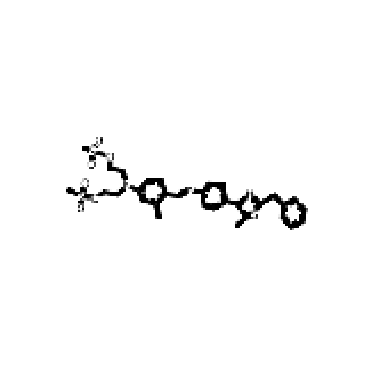 Cc1cc(N(CCOS(C)(=O)=O)CCOS(C)(=O)=O)ccc1C=Nc1ccc(-c2nc(Cc3ccccc3)sc2C)cc1